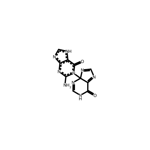 Nc1nc2nc[nH]c2c(=O)n1C12N=CN=C1C(=O)NC=N2